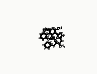 CCCCc1nc(O)c(-c2nnc(CN(C)C(=O)Cc3ccccc3)o2)c(O)c1-c1c(OC)cccc1OC